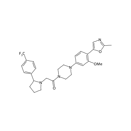 COc1cc(N2CCN(C(=O)CN3CCCC3c3ccc(C(F)(F)F)cc3)CC2)ccc1-c1cnc(C)o1